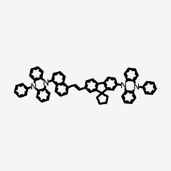 C(=C\c1cccc2c(N3c4ccccc4N(c4ccccc4)c4ccccc43)cccc12)/c1ccc2c(c1)C1(CCCC1)c1cc(N3c4ccccc4N(c4ccccc4)c4ccccc43)ccc1-2